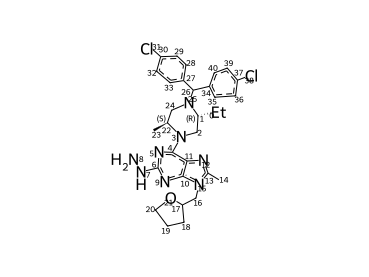 CC[C@@H]1CN(c2nc(NN)nc3c2nc(C)n3CC2CCCO2)[C@@H](C)CN1C(c1ccc(Cl)cc1)c1ccc(Cl)cc1